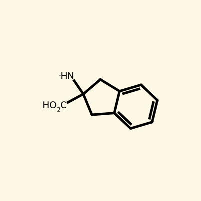 [NH]C1(C(=O)O)Cc2ccccc2C1